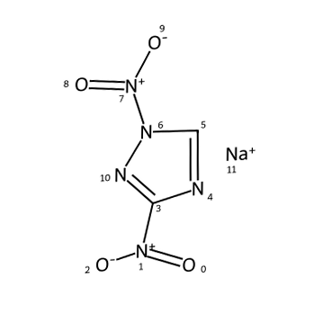 O=[N+]([O-])c1ncn([N+](=O)[O-])n1.[Na+]